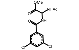 COC(=O)C(NC(C)=O)NC(=O)c1cc(Cl)cc(Cl)c1